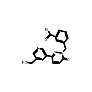 CCC(=O)c1cccc(Cn2nc(-c3cncc(CO)c3)ccc2=O)c1